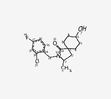 CC1CC2(CCC(O)CC2)C(=O)N1Cc1ccc(F)cc1Cl